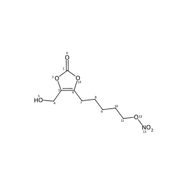 O=c1oc(CO)c(CCCCCO[N+](=O)[O-])o1